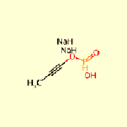 CC#CO[PH](=O)O.[NaH].[NaH]